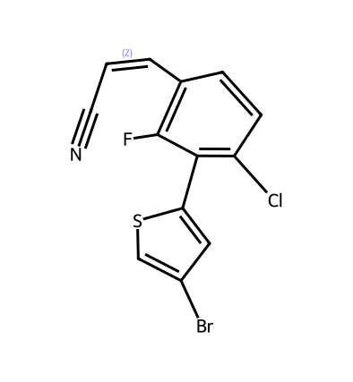 N#C/C=C\c1ccc(Cl)c(-c2cc(Br)cs2)c1F